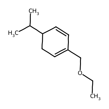 CCOCC1=CCC(C(C)C)C=C1